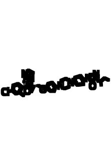 CCC(C)n1ncn(-c2ccc(N3CCN(c4ccc(OC[C@@H]5CO[C@@](Cn6nccn6)(c6ccc(Cl)cc6C)O5)cc4)CC3)cc2)c1=O